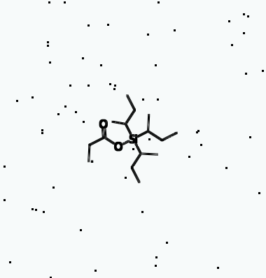 [CH2]CC(=O)O[Si](C(C)CC)(C(C)CC)C(C)CC